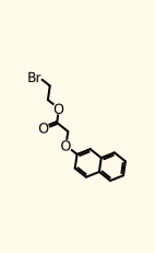 O=C(COc1ccc2ccccc2c1)OCCBr